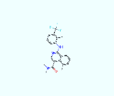 Cc1c(Nc2ncc(C(=O)N(C)C)c3c(C)cccc23)cccc1C(F)(F)F